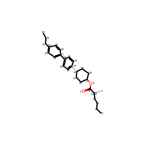 CCCC[C@H](F)C(=O)O[C@H]1CC[C@H](c2ccc(-c3ccc(CCC)cc3)cc2)CC1